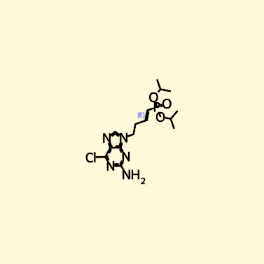 CC(C)OP(=O)(/C=C/CCn1cnc2c(Cl)nc(N)nc21)OC(C)C